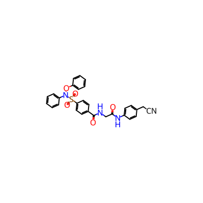 N#CCc1ccc(NC(=O)CNC(=O)c2ccc(S(=O)(=O)N(Oc3ccccc3)c3ccccc3)cc2)cc1